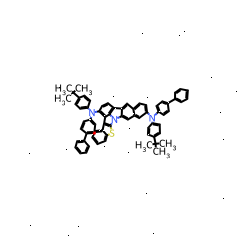 CC(C)(C)c1ccc(N(c2ccc(-c3ccccc3)cc2)c2ccc3cc4c5ccc(N(c6ccc(-c7ccccc7)cc6)c6ccc(C(C)(C)C)cc6)c6c7c8ccccc8sc7n(c4cc3c2)c56)cc1